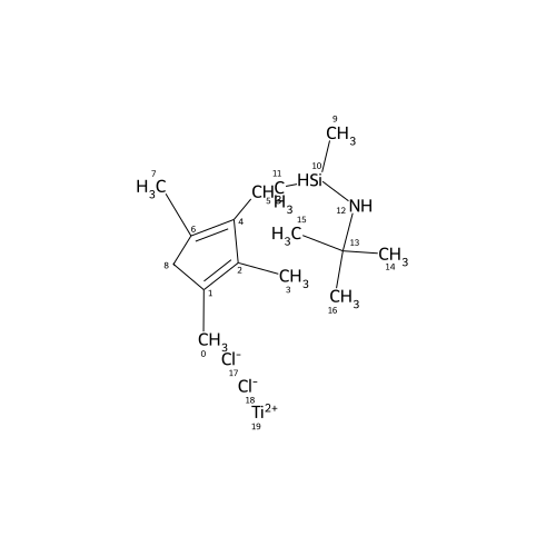 CC1=C(C)C(C)=C(C)C1.C[SiH](C)NC(C)(C)C.[Cl-].[Cl-].[Ti+2]